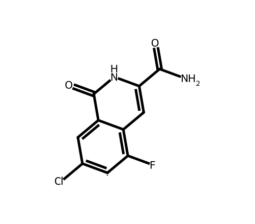 NC(=O)c1cc2c(F)[c]c(Cl)cc2c(=O)[nH]1